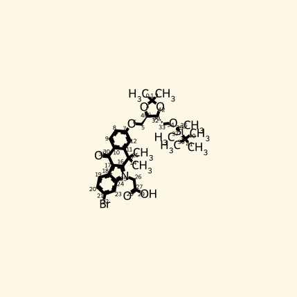 CC1(C)O[C@H](COc2ccc3c(c2)C(C)(C)c2c(c4ccc(Br)cc4n2CC(=O)O)C3=O)[C@@H](CO[Si](C)(C)C(C)(C)C)O1